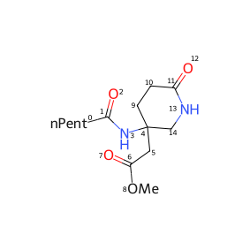 CCCCCC(=O)NC1(CC(=O)OC)CCC(=O)NC1